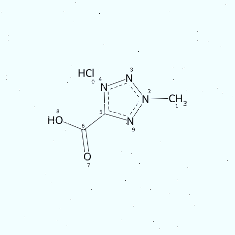 Cl.Cn1nnc(C(=O)O)n1